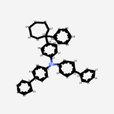 c1ccc(-c2ccc(N(c3ccc(-c4ccccc4)cc3)c3ccc(C4(c5ccccc5)CCCCCC4)cc3)cc2)cc1